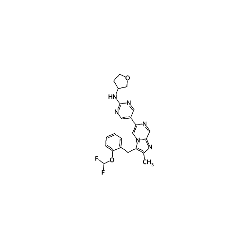 Cc1nc2cnc(-c3cnc(NC4CCOC4)nc3)cn2c1Cc1ccccc1OC(F)F